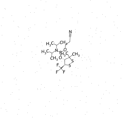 CC(C)N(C(C)C)P(OCCC#N)O[C@H]1[C@H](C(F)(F)F)SSC1(C)C